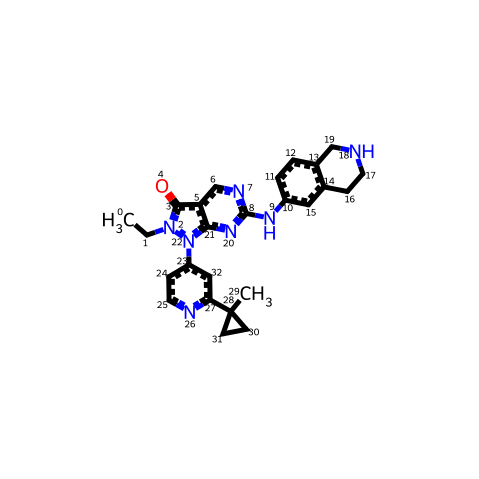 CCn1c(=O)c2cnc(Nc3ccc4c(c3)CCNC4)nc2n1-c1ccnc(C2(C)CC2)c1